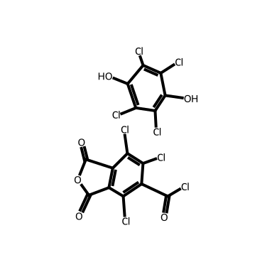 O=C(Cl)c1c(Cl)c(Cl)c2c(c1Cl)C(=O)OC2=O.Oc1c(Cl)c(Cl)c(O)c(Cl)c1Cl